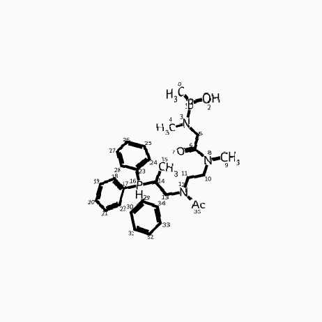 CB(O)N(C)CC(=O)N(C)CCN(CC(C)[PH](c1ccccc1)(c1ccccc1)c1ccccc1)C(C)=O